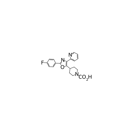 O=C(O)N1CCC(c2oc(-c3ccc(F)cc3)nc2-c2ccccn2)CC1